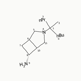 CCCCC(C)(CCC)N1CC2C[C@@H](N)C2C1